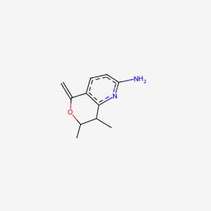 C=C1OC(C)C(C)c2nc(N)ccc21